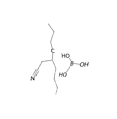 CCCCC(CC#N)CCCC.OB(O)O